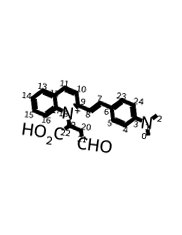 CN(C)c1ccc(/C=C/c2ccc3ccccc3[n+]2C(CC=O)C(=O)O)cc1